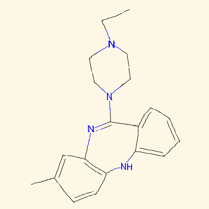 CCN1CCN(C2=Nc3cc(C)ccc3Nc3ccccc32)CC1